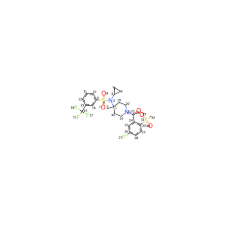 CC1(N(C2CC2)S(=O)(=O)c2cccc(C(F)(F)F)c2)CCN(C(=O)c2cc(F)ccc2S(C)(=O)=O)CC1